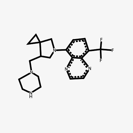 FC(F)(F)c1ccc(N2CC(CN3CCNCC3)C3(CC3)C2)c2nccnc12